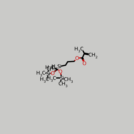 C=C(C)C(=O)OCCC[SiH2]C(C)(O[Si](C)(C)C)O[Si](C)(C)C